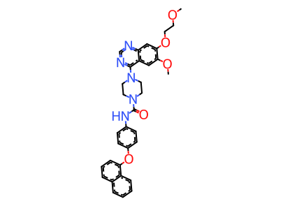 COCCOc1cc2ncnc(N3CCN(C(=O)Nc4ccc(Oc5cccc6ccccc56)cc4)CC3)c2cc1OC